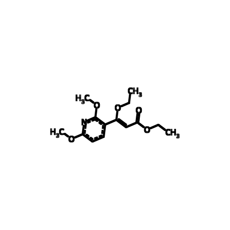 CCOC(=O)C=C(OCC)c1ccc(OC)nc1OC